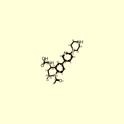 CC(=O)N1c2ccc(-c3ccc(N4CCNCC4)nc3)cc2[C@H](NC(=O)O)C[C@@H]1C